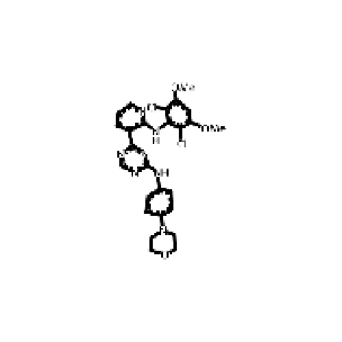 COc1cc(OC)c(Cl)c(Nc2ncccc2-c2ncnc(Nc3ccc(N4CCOCC4)cc3)n2)c1Cl